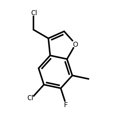 Cc1c(F)c(Cl)cc2c(CCl)coc12